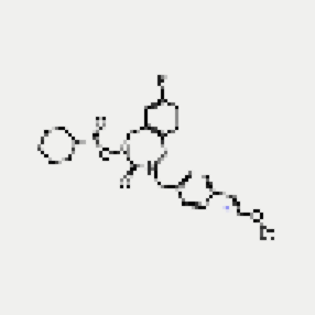 CCO/C=C/c1ccc(CN2Cc3ccc(F)cc3CN(OC(=O)N3CCCCC3)C2=O)cc1